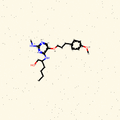 CCCCC(CO)Nc1nc(NC)ncc1OCCCc1ccc(OC)cc1